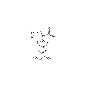 C=CC.C=CC.C=CC(=O)OCC1CO1.CCOCC.OCCO